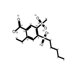 CCCCCS(=O)(=O)c1cc(CC)c(C(=O)Cl)cc1S(C)(=O)=O